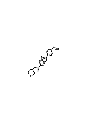 OCc1ccc(-c2cn3nc(NCC4CCOCC4)sc3n2)cc1